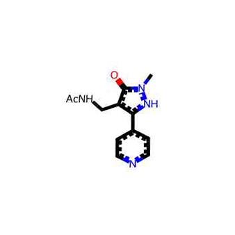 CC(=O)NCc1c(-c2ccncc2)[nH]n(C)c1=O